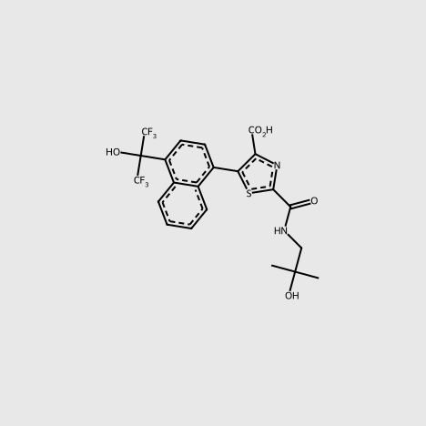 CC(C)(O)CNC(=O)c1nc(C(=O)O)c(-c2ccc(C(O)(C(F)(F)F)C(F)(F)F)c3ccccc23)s1